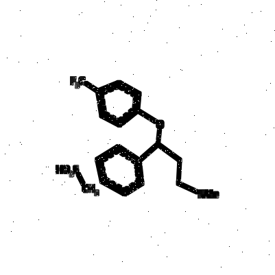 CNCCC(Oc1ccc(C(F)(F)F)cc1)c1ccccc1.CS(=O)(=O)O